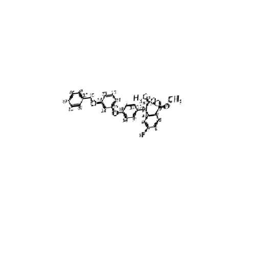 COC(=O)c1ccc(F)cc1N(C(C)=O)c1ccc(Oc2cccc(OCc3ccccc3)c2)cc1